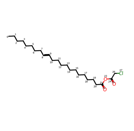 CCCCCCCCC=CCCCCCCCCCCCC(=O)OC(=O)CCl